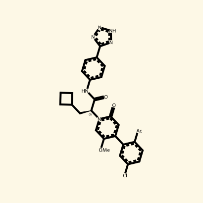 COc1cn([C@@H](CC2CCC2)C(=O)Nc2ccc(-c3nn[nH]n3)cc2)c(=O)cc1-c1cc(Cl)ccc1C(C)=O